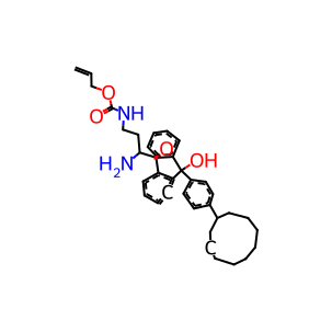 C=CCOC(=O)NCCC(N)C(=O)c1ccccc1C(O)(c1ccccc1)c1ccc(C2CCCCCCCCC2)cc1